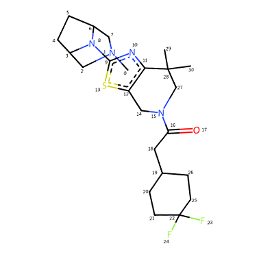 CN1CC2CCC(C1)N2c1nc2c(s1)CN(C(=O)CC1CCC(F)(F)CC1)CC2(C)C